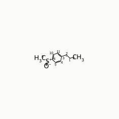 CC[CH]c1ccc([S+](C)[O-])cc1